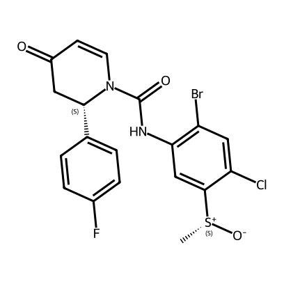 C[S@@+]([O-])c1cc(NC(=O)N2C=CC(=O)C[C@H]2c2ccc(F)cc2)c(Br)cc1Cl